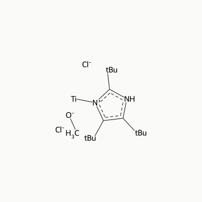 CC(C)(C)c1[nH]c(C(C)(C)C)[n+]([Ti])c1C(C)(C)C.C[O-].[Cl-].[Cl-]